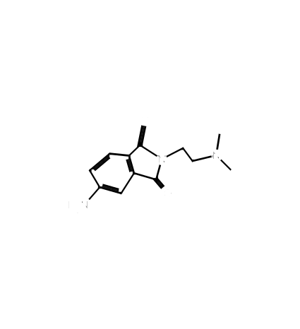 CN(C)CCN1C(=O)c2ccc(N)cc2C1=O